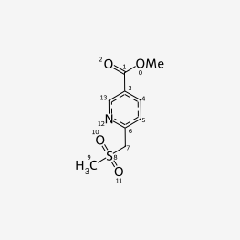 COC(=O)c1ccc(CS(C)(=O)=O)nc1